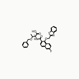 CC(OCc1ccccc1)[C@H](NC(=O)c1ccc2cc(F)ccc2c1OCc1nc2ccccc2s1)C(=O)O